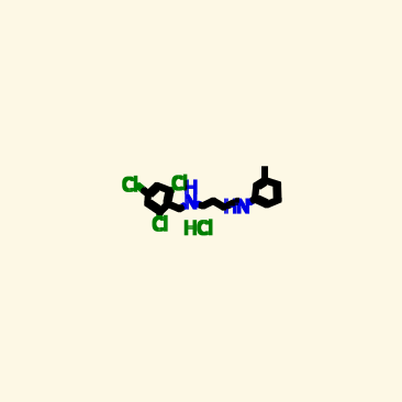 Cc1cccc(NCCCCNCc2c(Cl)cc(Cl)cc2Cl)c1.Cl